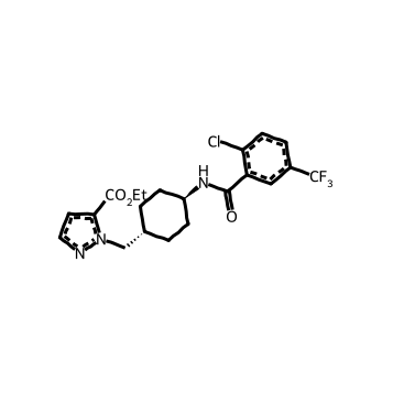 CCOC(=O)c1ccnn1C[C@H]1CC[C@H](NC(=O)c2cc(C(F)(F)F)ccc2Cl)CC1